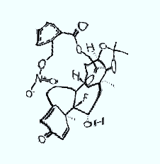 CC1(C)O[C@@H]2C[C@H]3C4CCC5=CC(=O)C=C[C@]5(C)[C@@]4(F)[C@@H](O)C[C@]3(C)[C@]2(C(=O)COC(=O)c2ccccc2CO[N+](=O)[O-])O1